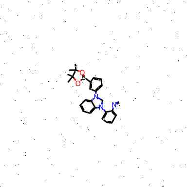 C=Nc1ccccc1N1CN(c2cccc(B3OC(C)(C)C(C)(C)O3)c2)c2ccccc21